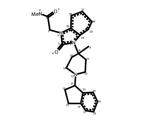 CNC(=O)Cn1c(=O)n(C2(C)CCN(C3CCc4ccccc43)CC2)c2ccccc21